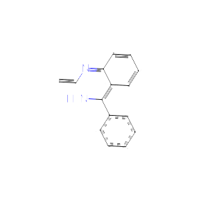 C=C/N=C1/C=CC=C/C1=C(/N)c1ccccc1